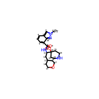 CC(C)n1cc2cccc(C(=O)NC(CC3CCOCC3)C3(O)CCNCC3)c2n1